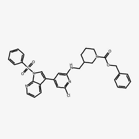 O=C(OCc1ccccc1)N1CCCC(CNc2cc(-c3cn(S(=O)(=O)c4ccccc4)c4ncccc34)cc(Cl)n2)C1